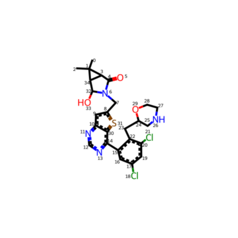 CC1(C)C2C(=O)N(Cc3cc4ncnc(-c5cc(Cl)cc(Cl)c5CC5CNCCO5)c4s3)C(O)C21